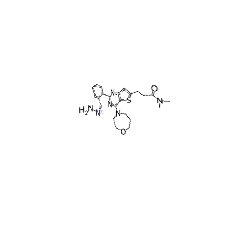 CN(C)C(=O)CCc1cc2nc(-c3ccccc3/C=N\N)nc(N3CCCOCC3)c2s1